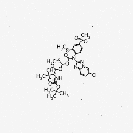 COc1cc(S(C)(=O)=O)ccc1N(C(=O)OC(OC(=O)[C@@H](NC(=O)OC(C)(C)C)C(C)(C)C)SC)c1nc2ccc(Cl)cn2n1